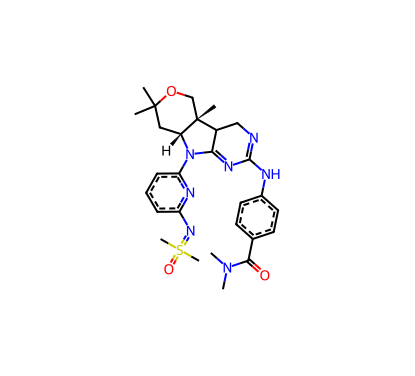 CN(C)C(=O)c1ccc(NC2=NCC3C(=N2)N(c2cccc(N=S(C)(C)=O)n2)[C@@H]2CC(C)(C)OC[C@]32C)cc1